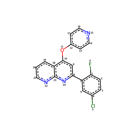 Fc1ccc(Cl)cc1-c1cc(Oc2ccncc2)c2cccnc2n1